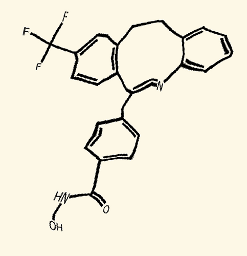 O=C(NO)c1ccc(/C2=N/c3ccccc3CCc3cc(C(F)(F)F)ccc32)cc1